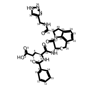 O=C(O)CC[C@H](NC(=O)c1ccccc1)C(=O)N[C@H]1CCc2cccc3c2N(C1=O)[C@H](C(=O)NCc1c[nH]nn1)C3